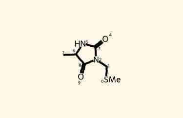 CSCN1C(=O)NC(C)C1=O